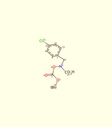 CC(C)(C)OC(=O)ON(Cc1ccc(Cl)cc1)C(=O)O